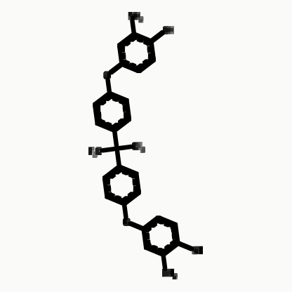 Nc1cc(Oc2ccc(C(c3ccc(Oc4ccc(S)c(N)c4)cc3)(C(F)(F)F)C(F)(F)F)cc2)ccc1S